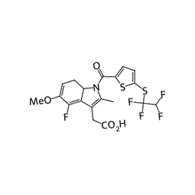 COC1=CCC2C(=C1F)C(CC(=O)O)=C(C)N2C(=O)c1ccc(SC(F)(F)C(F)F)s1